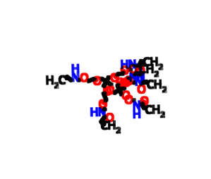 C=CCNCOCCOCC(COCCOCNC(=O)C=C)(COCCOCNC(=O)C=C)COCC(COOCNC(=O)C=C)(COOCNC(=O)C=C)COOCNC(=O)C=C